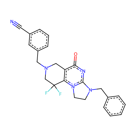 N#Cc1cccc(CN2Cc3c(n4c(nc3=O)N(Cc3ccccc3)CC4)C(F)(F)C2)c1